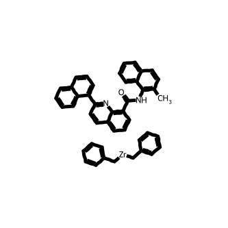 Cc1ccc2ccccc2c1NC(=O)c1cccc2ccc(-c3cccc4ccccc34)nc12.c1ccc([CH2][Zr][CH2]c2ccccc2)cc1